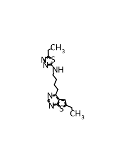 CCc1cc2c(CCCCNc3nnc(CC)s3)ncnc2s1